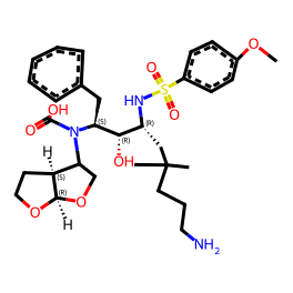 COc1ccc(S(=O)(=O)N[C@H](CC(C)(C)CCCN)[C@H](O)[C@H](Cc2ccccc2)N(C(=O)O)C2CO[C@H]3OCC[C@@H]23)cc1